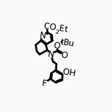 CCOC(=O)c1ccc2c(n1)CCCC2N(CCc1cc(F)ccc1O)C(=O)OC(C)(C)C